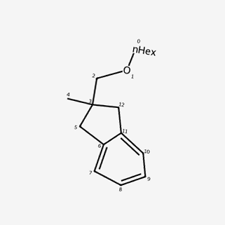 CCCCCCOCC1(C)Cc2ccccc2C1